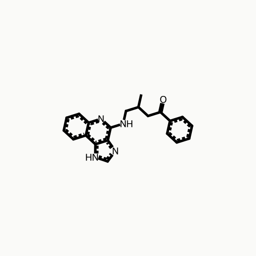 CC(CNc1nc2ccccc2c2[nH]cnc12)CC(=O)c1ccccc1